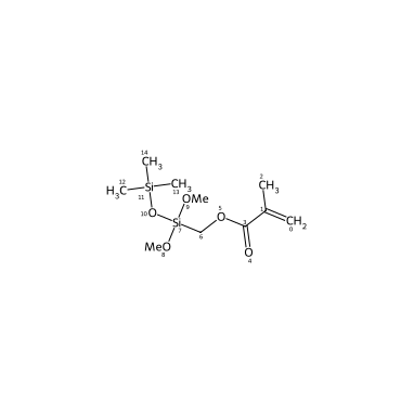 C=C(C)C(=O)OC[Si](OC)(OC)O[Si](C)(C)C